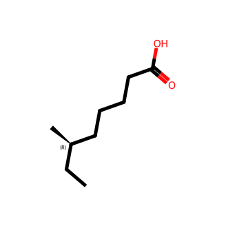 CC[C@@H](C)CCCCC(=O)O